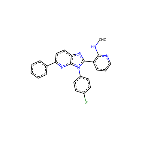 O=CNc1ncccc1-c1nc2ccc(-c3ccccc3)nc2n1-c1ccc(Br)cc1